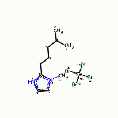 CC(C)CCCc1[nH]cc[n+]1C.[Br][Fe]([Br])([Br])[Br]